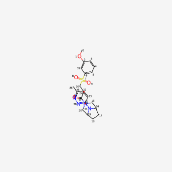 COc1cccc(S(=O)(=O)CCC(=O)N2CC3CCC(C2)N3c2ccc(C)nn2)c1